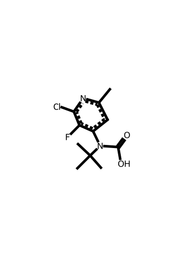 Cc1cc(N(C(=O)O)C(C)(C)C)c(F)c(Cl)n1